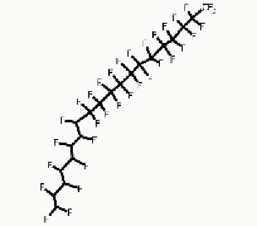 FC(F)C(F)C(F)C(F)C(F)C(F)C(F)C(F)C(F)(F)C(F)(F)C(F)(F)C(F)(F)C(F)(F)C(F)(F)C(F)(F)C(F)(F)C(F)(F)C(F)(F)C(F)(F)C(F)(F)F